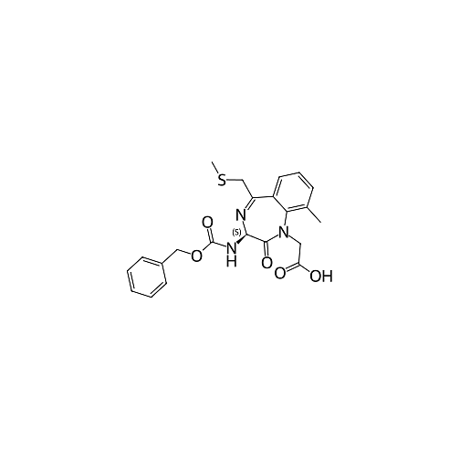 CSCC1=N[C@H](NC(=O)OCc2ccccc2)C(=O)N(CC(=O)O)c2c(C)cccc21